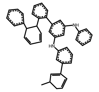 CC1C=C(c2cccc(Nc3cc(Nc4ccccc4)cc(-c4ccccc4C4C=CC=CC4c4ccccc4)c3)c2)C=CC1